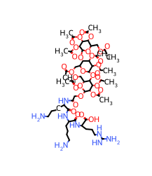 CC(=O)OCC1OC(OC2C(COC(C)=O)OC(OC3C(COC(C)=O)OC(OCC(=O)NC(CCCCN)C(=O)NC(CCCCN)C(=O)NC(CCCNC(=N)N)C(=O)O)C(OC(C)=O)C3OC(C)=O)C(OC(C)=O)C2OC(C)=O)C(OC(C)=O)C(OC(C)=O)C1OC(C)=O